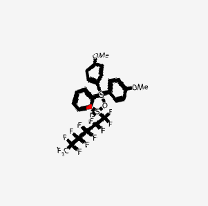 COc1ccc(S(OS(=O)(=O)C(F)(F)C(F)(F)C(F)(F)C(F)(F)C(F)(F)C(F)(F)F)(c2ccccc2)c2ccc(OC)cc2)cc1